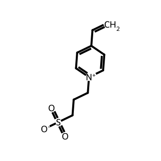 C=Cc1cc[n+](CCCS(=O)(=O)[O-])cc1